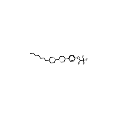 CCCCCCC[C@H]1CC[C@H]([C@H]2CC[C@H](c3ccc(OC(F)C(F)(F)F)cc3)CC2)CC1